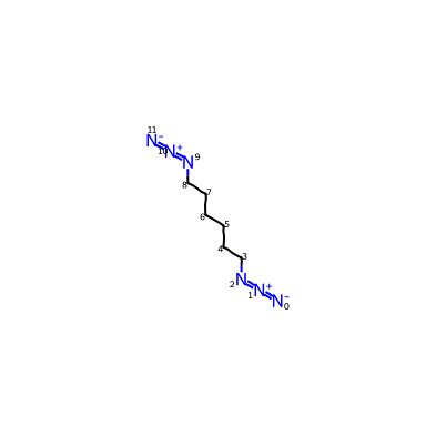 [N-]=[N+]=NCCCCCCN=[N+]=[N-]